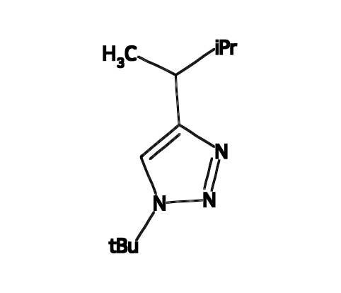 CC(C)C(C)c1cn(C(C)(C)C)nn1